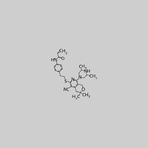 C=CC(=O)Nc1ccc(CCSc2nc(N3CC(C)NC(C)C3)c3c(c2C#N)CC(C)(C)OC3)cc1